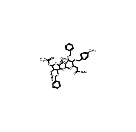 COC(=O)CC1OC(OC2C(COC(C)=O)OC(OC(=N)C(Cl)(Cl)Cl)C(N=[N+]=[N-])C2OCc2ccccc2)C(OC(C)=O)C(OCc2ccccc2)C1OCc1ccc(OC)cc1